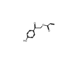 C=CC(=O)OCC(=O)c1ccc(O)cc1